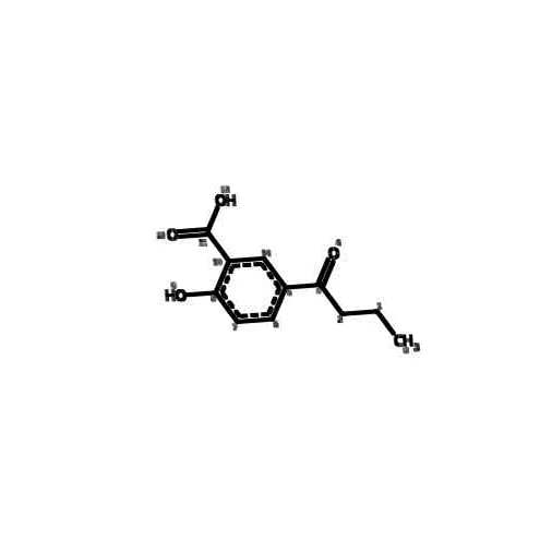 CCCC(=O)c1ccc(O)c(C(=O)O)c1